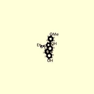 CCOCO[C@@]12CCC(O)(c3ccc(OC)cc3)[C@@]1(C)CC[C@@H]1[C@H]2CC=C2CC(O)CC[C@@]21C